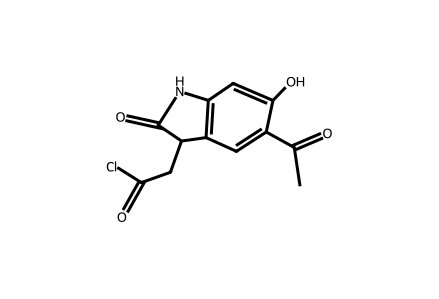 CC(=O)c1cc2c(cc1O)NC(=O)C2CC(=O)Cl